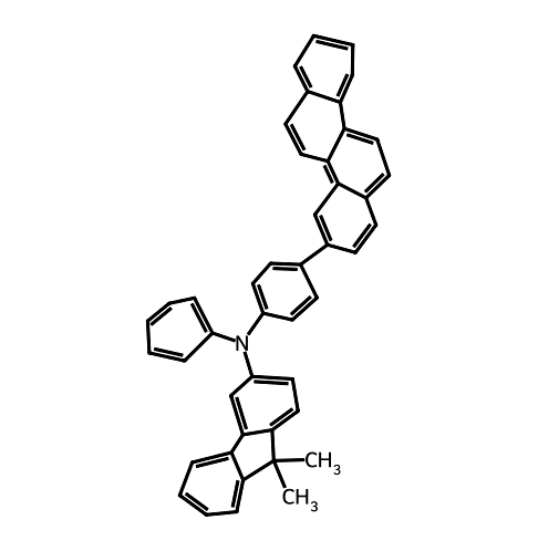 CC1(C)c2ccccc2-c2cc(N(c3ccccc3)c3ccc(-c4ccc5ccc6c7ccccc7ccc6c5c4)cc3)ccc21